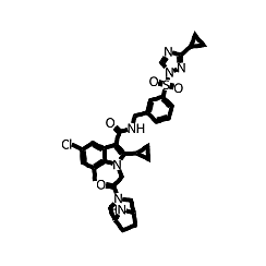 Cc1cc(Cl)cc2c(C(=O)NCc3cccc(S(=O)(=O)n4cnc(C5CC5)n4)c3)c(C3CC3)n(CC(=O)N3CC4CCC(C3)N4)c12